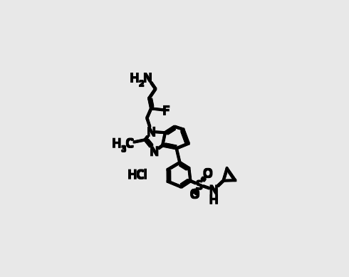 Cc1nc2c(-c3cccc(S(=O)(=O)NC4CC4)c3)cccc2n1CC(F)=CCN.Cl